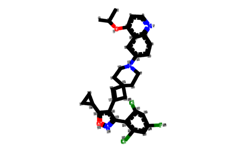 CC(C)Oc1ccnc2ccc(N3CCC4(C=C(c5c(-c6c(Cl)cc(F)cc6Cl)noc5C5CC5)C4)CC3)cc12